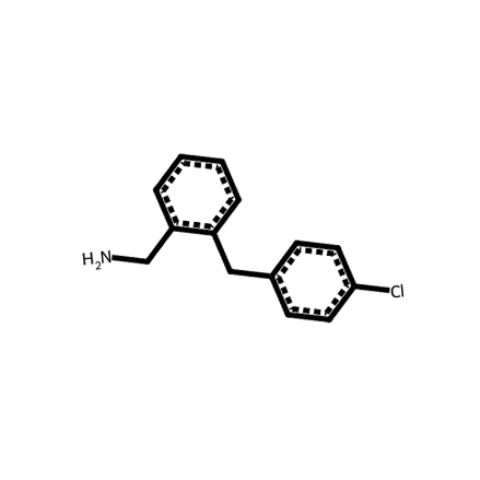 NCc1ccccc1Cc1ccc(Cl)cc1